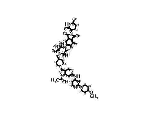 [2H]C1([2H])N(CC2CCN(c3nn(C(C)C)c4cc(Nc5ccnc(N6CCC(OC)CC6)n5)ncc34)CC2)C([2H])([2H])C([2H])([2H])N(c2cc3c(c(F)c2F)C(=O)N(C2CCC(=O)NC2=O)C3=O)C1([2H])[2H]